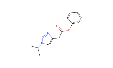 CC(C)n1cc(CC(=O)Oc2ccccc2)nn1